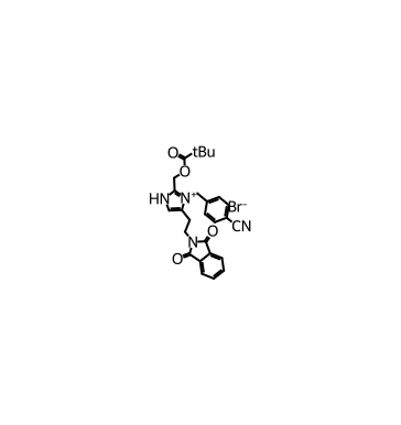 CC(C)(C)C(=O)OCc1[nH]cc(CCN2C(=O)c3ccccc3C2=O)[n+]1Cc1ccc(C#N)cc1.[Br-]